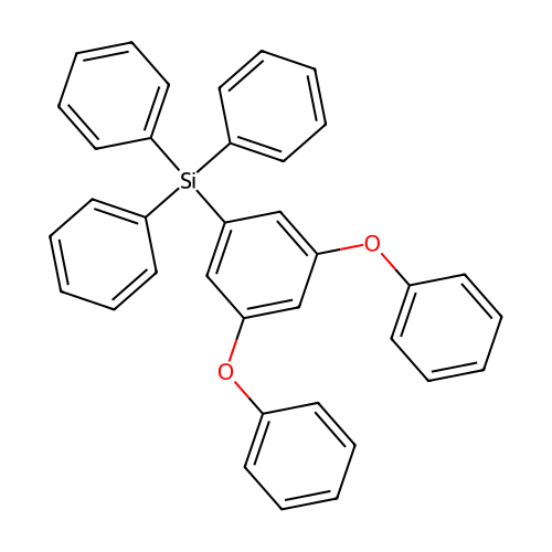 c1ccc(Oc2cc(Oc3ccccc3)cc([Si](c3ccccc3)(c3ccccc3)c3ccccc3)c2)cc1